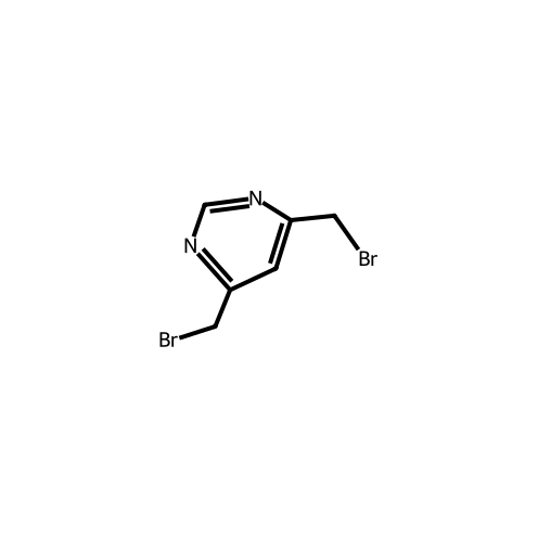 BrCc1cc(CBr)ncn1